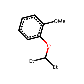 CCC(CC)Oc1ccccc1OC